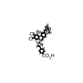 O=C(O)c1ccc(-c2csc(N(Cc3ccc(CP(=O)(OF)OF)c(Br)c3)c3ccc(Cl)c(Cl)c3)n2)cc1